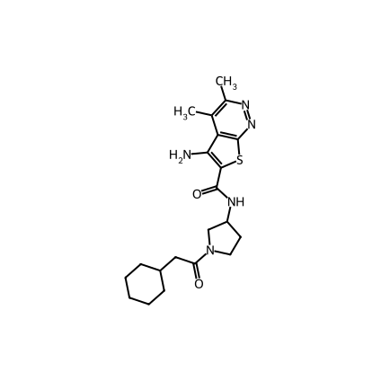 Cc1nnc2sc(C(=O)NC3CCN(C(=O)CC4CCCCC4)C3)c(N)c2c1C